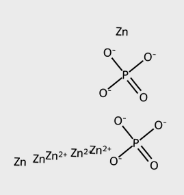 O=P([O-])([O-])[O-].O=P([O-])([O-])[O-].[Zn+2].[Zn+2].[Zn+2].[Zn].[Zn].[Zn]